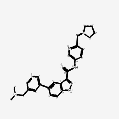 CN(C)Cc1cncc(-c2ccc3[nH]nc(C(=O)Nc4ccc(CN5CCCC5)nc4)c3c2)c1